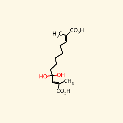 CC(=CCCCCCC(O)(O)C=C(C)C(=O)O)C(=O)O